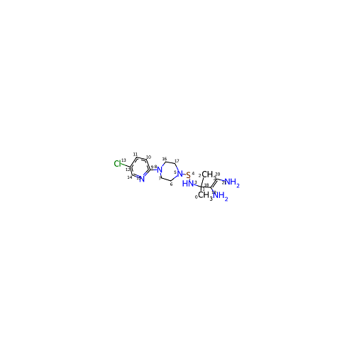 CC(C)(NSN1CCN(c2ccc(Cl)cn2)CC1)/C(N)=C/N